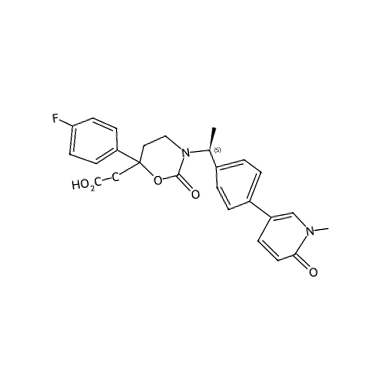 C[C@@H](c1ccc(-c2ccc(=O)n(C)c2)cc1)N1CCC(CC(=O)O)(c2ccc(F)cc2)OC1=O